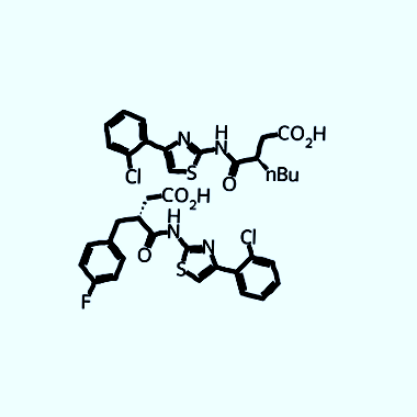 CCCC[C@H](CC(=O)O)C(=O)Nc1nc(-c2ccccc2Cl)cs1.O=C(O)C[C@@H](Cc1ccc(F)cc1)C(=O)Nc1nc(-c2ccccc2Cl)cs1